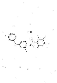 Cc1cc(Oc2ccccc2)ccc1PC(=O)c1c(C)cc(C)c(C)c1C.[LiH]